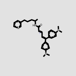 CC(CCCc1cccnc1)NC(=O)/C=C/C=C(c1ccc(N(C)C)cc1)c1ccc(N(C)C)cc1